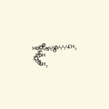 CCCCCCCCOC(=O)CCCSCC[C@H]1C(=O)C[C@@H](O)[C@H]1/C=C/[C@@H](O)Cc1cccc(COC)c1